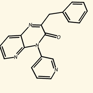 O=c1c(Cc2ccccc2)nc2cccnc2n1-c1cccnc1